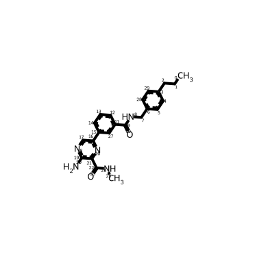 CCCc1ccc(CNC(=O)c2cccc(-c3cnc(N)c(C(=O)NC)n3)c2)cc1